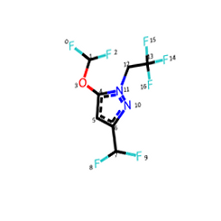 FC(F)Oc1cc(C(F)F)nn1CC(F)(F)F